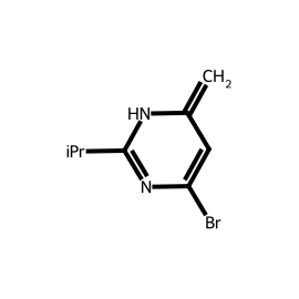 C=C1C=C(Br)N=C(C(C)C)N1